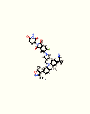 Cc1ccc(-c2c(C)noc2C)cc1N(CC1CCN(c2cc3c(cc2F)C(=O)N(C2CCC(=O)NC2=O)C3=O)C1)c1ccc(C2(C#N)CC2)cc1